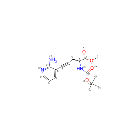 COC(=O)[C@H](CC#Cc1cccnc1N)NC(=O)OC(C)(C)C